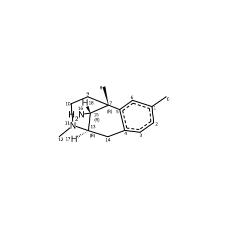 Cc1ccc2c(c1)[C@@]1(C)CCN(C)[C@H](C2)[C@@H]1N